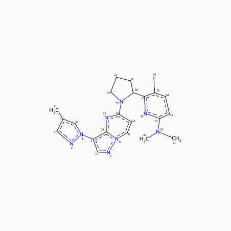 Cc1cnn(-c2cnn3ccc(N4CCCC4c4nc(N(C)C)ccc4F)nc23)c1